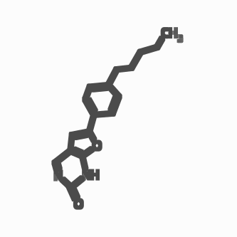 CCCCCc1ccc(-c2cc3cnc(=O)[nH]c3o2)cc1